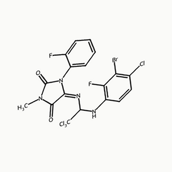 CN1C(=O)/C(=N\C(Nc2ccc(Cl)c(Br)c2F)C(Cl)(Cl)Cl)N(c2ccccc2F)C1=O